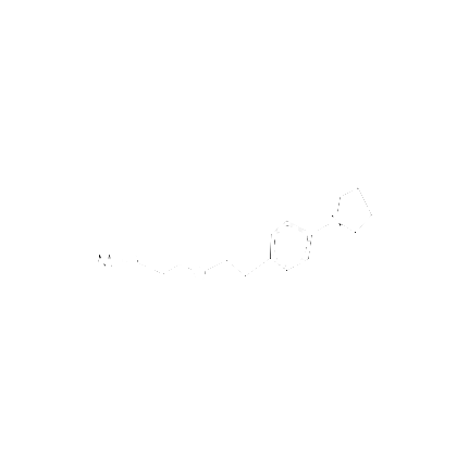 COCCOCCc1ccc(N2CCCC2)cc1